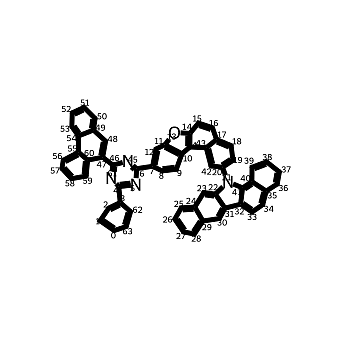 c1ccc(-c2nc(-c3ccc4c(c3)oc3ccc5ccc(-n6c7cc8ccccc8cc7c7ccc8ccccc8c76)cc5c34)nc(-c3cc4ccccc4c4ccccc34)n2)cc1